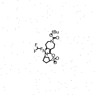 CC(C)(C)OC(=O)N1CCc2nn3c(c2CC1)OS(=O)(=O)C1CCC3C1.FC(F)F